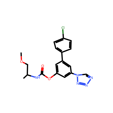 COCC(C)NC(=O)Oc1cc(-c2ccc(Cl)cc2)cc(-n2cnnn2)c1